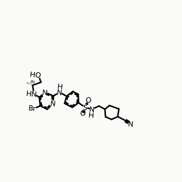 C[C@H](CO)Nc1nc(Nc2ccc(S(=O)(=O)NCC3CCC(C#N)CC3)cc2)ncc1Br